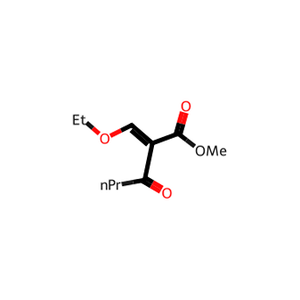 CCCC(=O)/C(=C\OCC)C(=O)OC